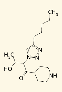 CCCCCc1cn([C@H](C(=O)C2CCNCC2)C(C)O)nn1